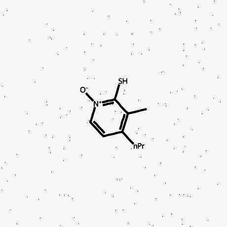 CCCc1cc[n+]([O-])c(S)c1C